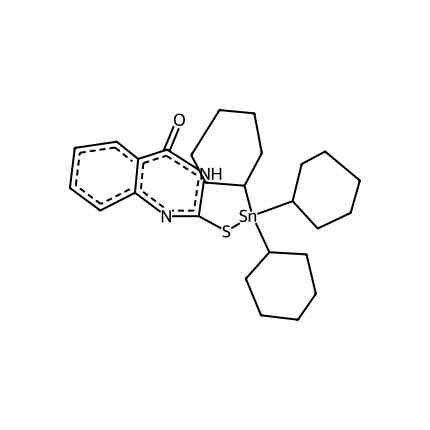 O=c1[nH]c([S][Sn]([CH]2CCCCC2)([CH]2CCCCC2)[CH]2CCCCC2)nc2ccccc12